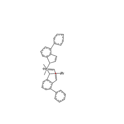 CC(C)C[CH]=[Hf]([CH3])([CH3])([CH3])([CH]1C=Cc2c(-c3ccccc3)cccc21)[CH]1C=Cc2c(-c3ccccc3)cccc21